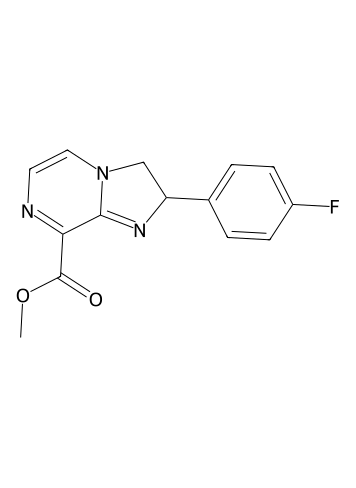 COC(=O)C1=NC=CN2CC(c3ccc(F)cc3)N=C12